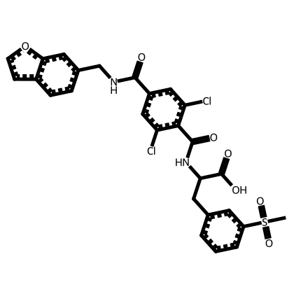 CS(=O)(=O)c1cccc(CC(NC(=O)c2c(Cl)cc(C(=O)NCc3ccc4ccoc4c3)cc2Cl)C(=O)O)c1